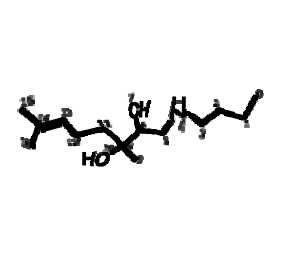 CCCCNCC(O)C(C)(O)CCC=C(C)C